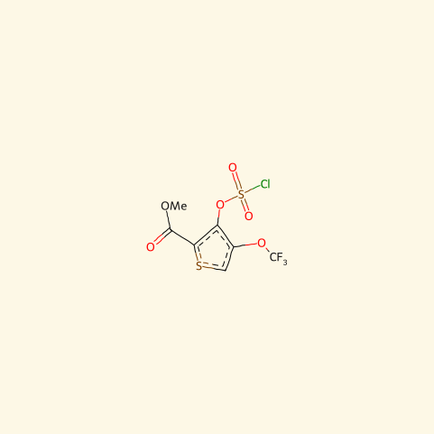 COC(=O)c1scc(OC(F)(F)F)c1OS(=O)(=O)Cl